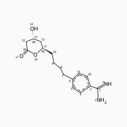 N=C(N)c1ccc(CCCC[C@@H]2C[C@@H](O)CC(=O)O2)cc1